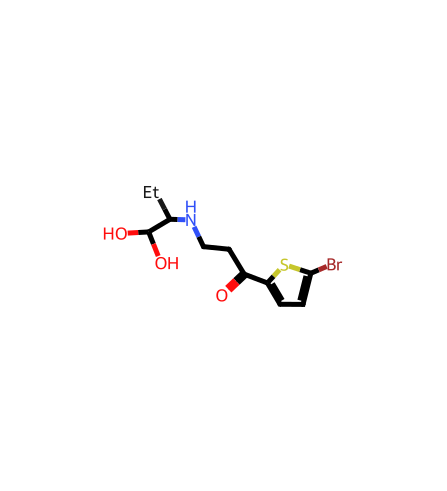 CCC(NCCC(=O)c1ccc(Br)s1)C(O)O